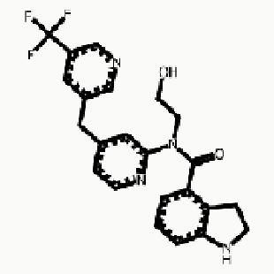 O=C(c1cccc2c1CCN2)N(CCO)c1cc(Cc2cncc(C(F)(F)F)c2)ccn1